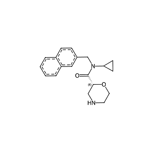 O=C([C@H]1CNCCO1)N(Cc1ccc2ccccc2c1)C1CC1